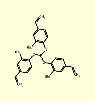 C=Cc1ccc(OP(Oc2ccc(C=C)cc2C(C)(C)C)Oc2ccc(C=C)cc2C(C)(C)C)c(C(C)(C)C)c1